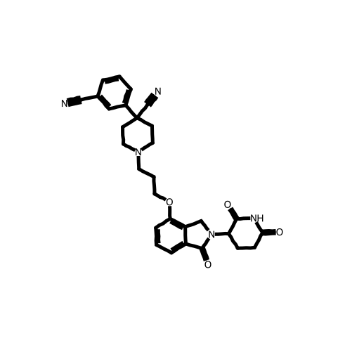 N#Cc1cccc(C2(C#N)CCN(CCCOc3cccc4c3CN(C3CCC(=O)NC3=O)C4=O)CC2)c1